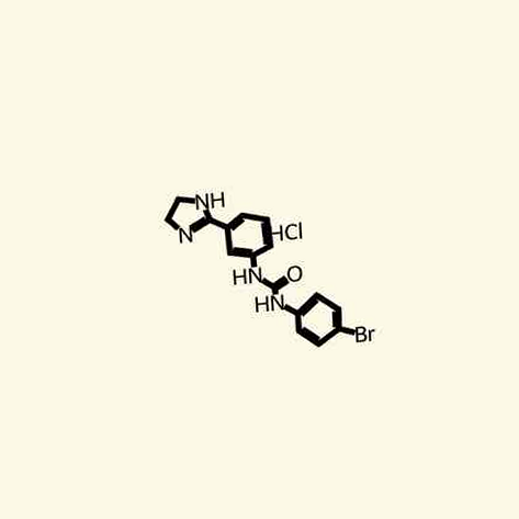 Cl.O=C(Nc1ccc(Br)cc1)Nc1cccc(C2=NCCN2)c1